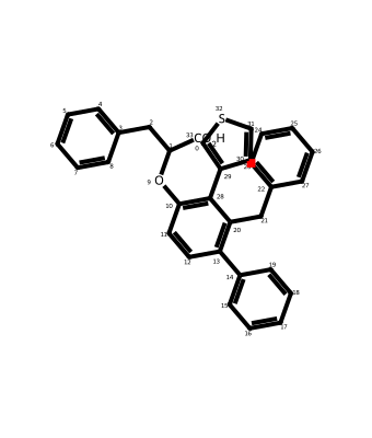 O=C(O)C(Cc1ccccc1)Oc1ccc(-c2ccccc2)c(Cc2ccccc2)c1-c1ccsc1